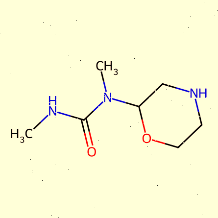 CNC(=O)N(C)C1CNCCO1